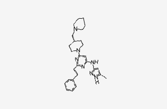 Cc1cc(Nc2cc(N3CCC(CN4CCCCC4)CC3)nc(/C=C/c3ccccc3)n2)n[nH]1